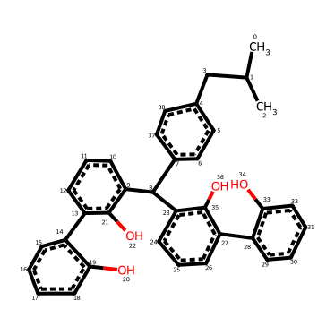 CC(C)Cc1ccc(C(c2cccc(-c3ccccc3O)c2O)c2cccc(-c3ccccc3O)c2O)cc1